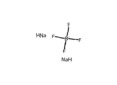 F[B-](F)(F)F.[NaH].[NaH]